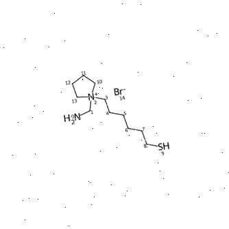 NC[N+]1(CCCCCCS)CCCC1.[Br-]